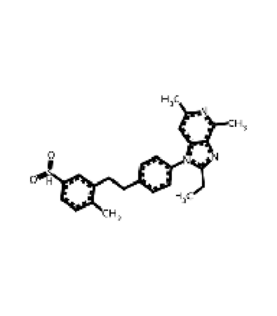 CCc1nc2c(C)nc(C)cc2n1-c1ccc(CCc2cc([SH](=O)=O)ccc2C)cc1